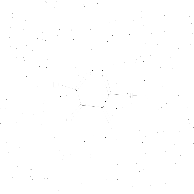 C=C(C(N)=O)C(=O)C(=O)CC